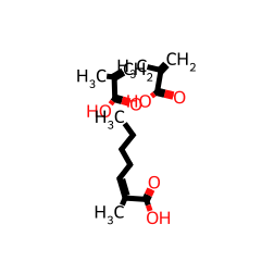 C=C(C)C(=O)O.C=C(C)C(=O)O.CCCCC=C(C)C(=O)O